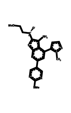 CNc1ncc(-c2cc(-c3ccnn3C)c3c(N)c([S@@+]([O-])CCOC)sc3n2)cn1